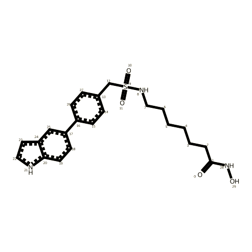 O=C(CCCCCCNS(=O)(=O)Cc1ccc(-c2ccc3[nH]ccc3c2)cc1)NO